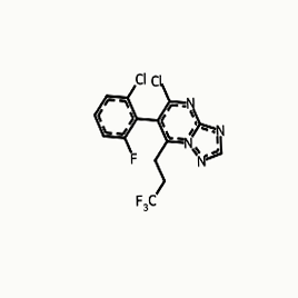 Fc1cccc(Cl)c1-c1c(Cl)nc2ncnn2c1CCC(F)(F)F